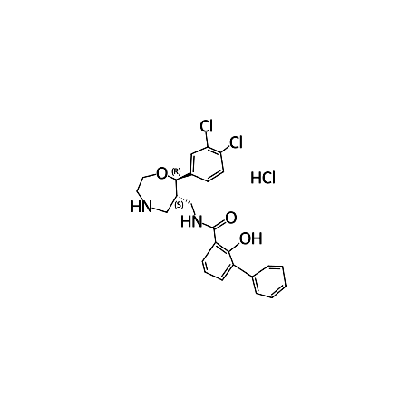 Cl.O=C(NC[C@@H]1CNCCO[C@H]1c1ccc(Cl)c(Cl)c1)c1cccc(-c2ccccc2)c1O